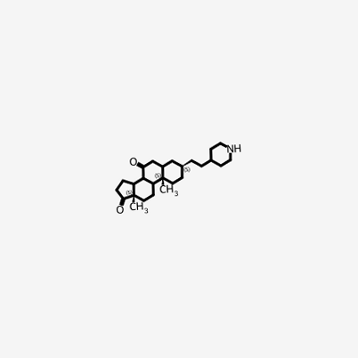 C[C@]12CC[C@H](CCC3CCNCC3)CC1CC(=O)C1C2CC[C@]2(C)C(=O)CCC12